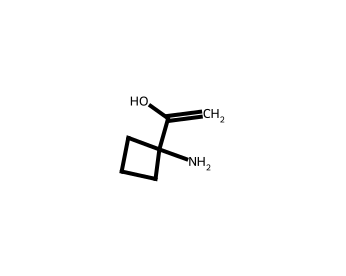 C=C(O)C1(N)CCC1